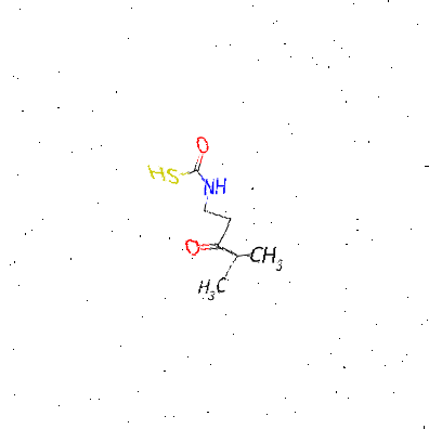 CC(C)C(=O)CCNC(=O)S